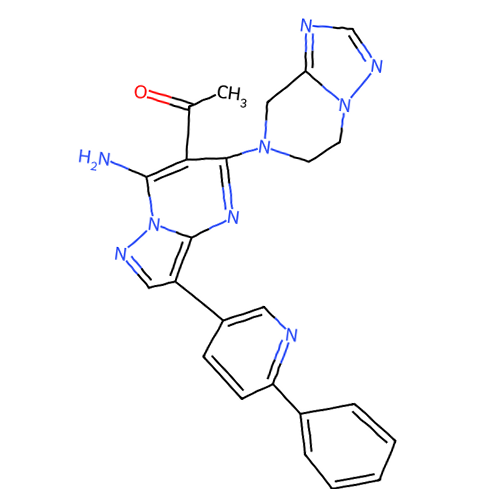 CC(=O)c1c(N2CCn3ncnc3C2)nc2c(-c3ccc(-c4ccccc4)nc3)cnn2c1N